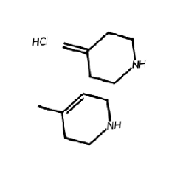 C=C1CCNCC1.CC1=CCNCC1.Cl